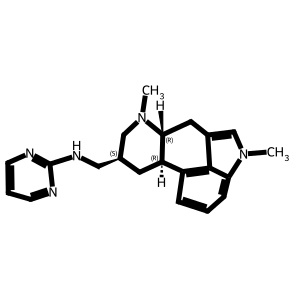 CN1C[C@H](CNc2ncccn2)C[C@@H]2c3cccc4c3c(cn4C)C[C@H]21